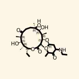 CCNC1C[C@H](O[C@H]2[C@H](C)[C@@H](O)[C@](C)(O)CCC(=O)[C@H](C)[C@@H](O)[C@@H](C)[C@@H](CC)OC(=O)[C@@H]2C)OC(C)C1=O